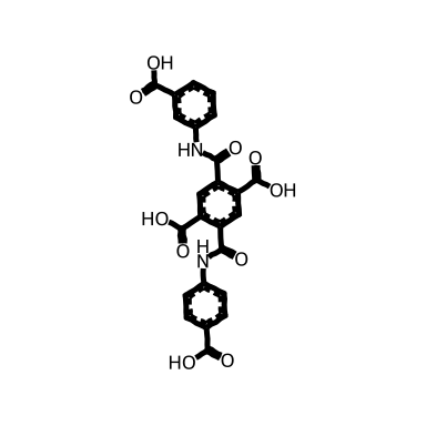 O=C(O)c1ccc(NC(=O)c2cc(C(=O)O)c(C(=O)Nc3cccc(C(=O)O)c3)cc2C(=O)O)cc1